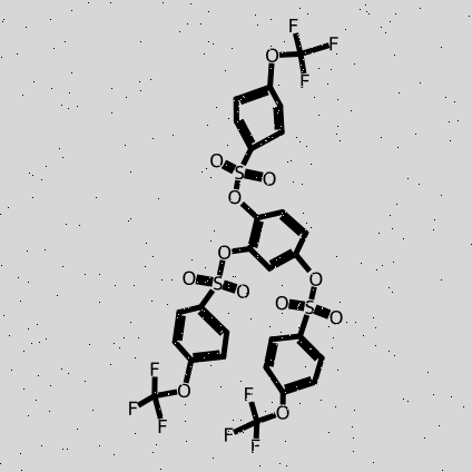 O=S(=O)(Oc1ccc(OS(=O)(=O)c2ccc(OC(F)(F)F)cc2)c(OS(=O)(=O)c2ccc(OC(F)(F)F)cc2)c1)c1ccc(OC(F)(F)F)cc1